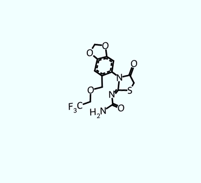 NC(=O)N=C1SCC(=O)N1c1cc2c(cc1COCC(F)(F)F)OCO2